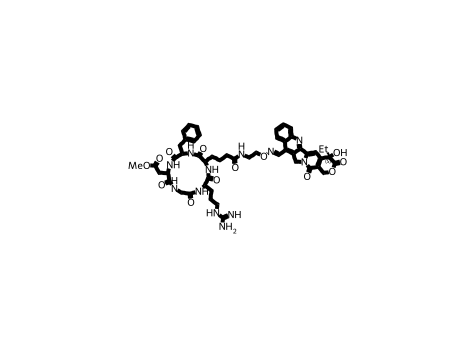 CC[C@@]1(O)C(=O)OCc2c1cc1n(c2=O)Cc2c-1nc1ccccc1c2C=NOCCNC(=O)CCCC1NC(=O)C(CCCNC(=N)N)NC(=O)CNC(=O)C(CC(=O)OC)NC(=O)C(Cc2ccccc2)NC1=O